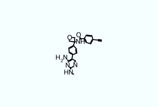 C#Cc1ccc(C(=O)NC2(c3ccc(-c4cnc(NC)nc4N)cc3)COC2)cc1